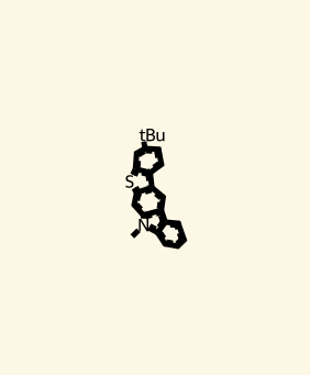 Cn1c2ccccc2c2cc3c(cc21)sc1cc(C(C)(C)C)ccc13